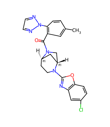 Cc1ccc(-n2nccn2)c(C(=O)N2C[C@H]3C[C@H]2CCN3c2nc3cc(Cl)ccc3o2)c1